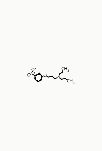 CCCN(CCC)CCCOc1cccc([N+](=O)[O-])c1